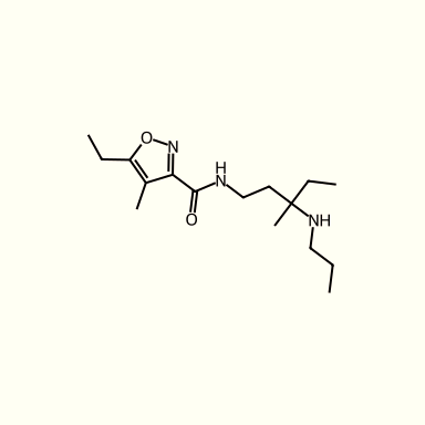 CCCNC(C)(CC)CCNC(=O)c1noc(CC)c1C